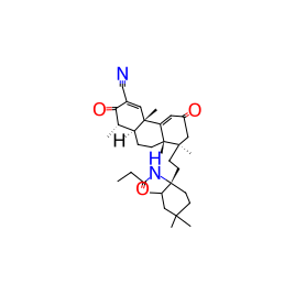 CCC(=O)N[C@]1(CC[C@]2(C)CC(=O)C=C3[C@@]4(C)C=C(C#N)C(=O)[C@@H](C)[C@@H]4CC[C@]32C)CCC(C)(C)CC1C